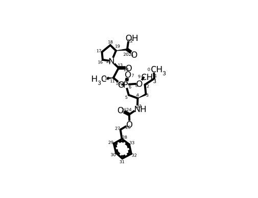 CCCC[C@H](CP(=O)(OC)O[C@@H](C)C(=O)N1CCC[C@H]1C(=O)O)NC(=O)OCc1ccccc1